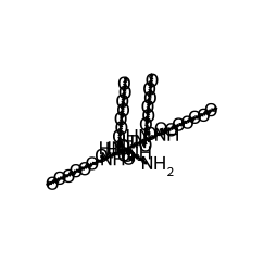 CCOCCOCCOCCOCCOCCOCCCC(=O)NCCCCC(NC(=O)CCOCCOCCOCCOCCOCCOCCOCC)C(=O)N[C@H](CCCCNC(=O)C(CCCCNC(=O)CCOCCOCCOCCOCCOCCOCC)NC(=O)CCOCCOCCOCCOCCOCCOCC)C(=O)NC(CCCCN)C(C)=O